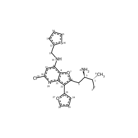 C[C@H](F)[C@H](N)Cc1oc2c(NCc3cccs3)cc(Cl)nc2c1-c1ccco1